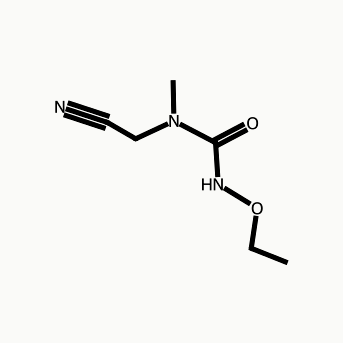 CCONC(=O)N(C)CC#N